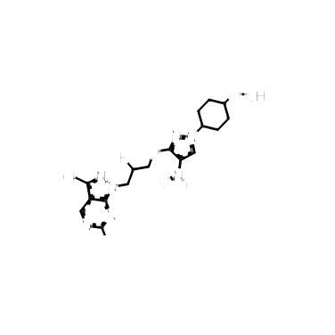 COC1CCC(n2cc([N+](=O)[O-])c(OCC(F)Cn3nc(Cl)c4cnc(Cl)nc43)n2)CC1